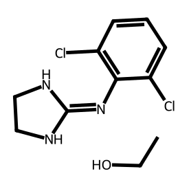 CCO.Clc1cccc(Cl)c1N=C1NCCN1